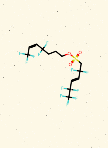 O=S(=O)(CC(F)(F)/C=C/C(F)(F)C(F)(F)F)OCCCC(F)(F)/C=C\C(F)(F)F